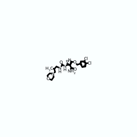 CC(CNC(=O)Nc1snc(OCc2ccc(Cl)c(Cl)c2)c1C(N)=O)CN1CCOCC1